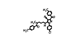 Cc1ccc(C(=O)c2nn(-c3ccc(Cl)cc3)c(NCCCN(C)C(=O)c3ccc(C)cc3)c2C#N)cc1